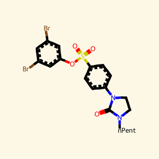 CCCCCN1CCN(c2ccc(S(=O)(=O)Oc3cc(Br)cc(Br)c3)cc2)C1=O